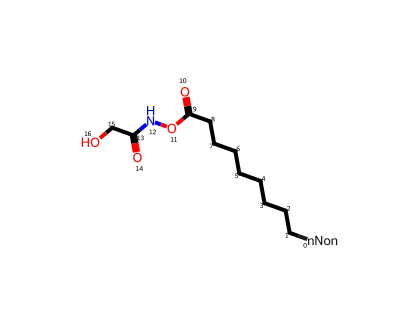 CCCCCCCCCCCCCCCCCC(=O)ONC(=O)CO